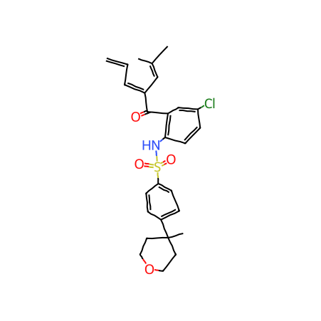 C=C/C=C(\C=C(C)C)C(=O)c1cc(Cl)ccc1NS(=O)(=O)c1ccc(C2(C)CCOCC2)cc1